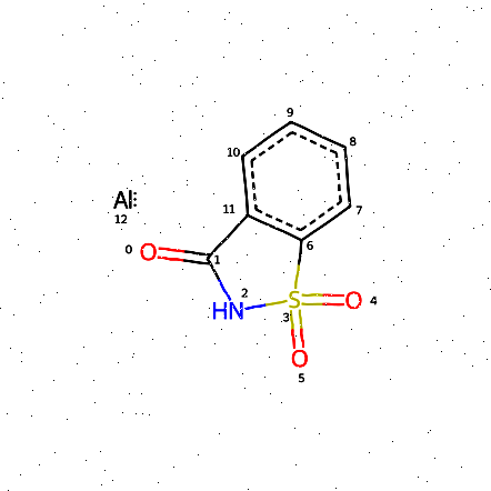 O=C1NS(=O)(=O)c2ccccc21.[Al]